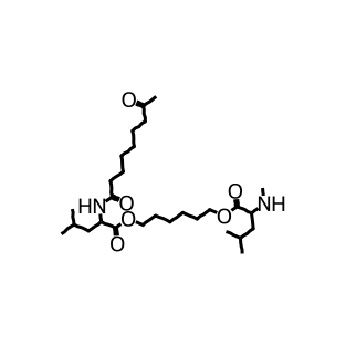 CNC(CC(C)C)C(=O)OCCCCCCOC(=O)C(CC(C)C)NC(=O)CCCCCCC(C)=O